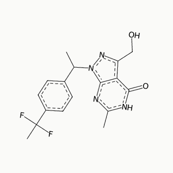 Cc1nc2c(c(CO)nn2C(C)c2ccc(C(C)(F)F)cc2)c(=O)[nH]1